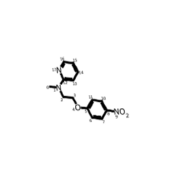 CN(CCOc1ccc([N+](=O)[O-])cc1)c1ccccn1